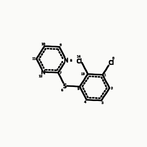 Clc1cccc(Sc2ncccn2)c1Cl